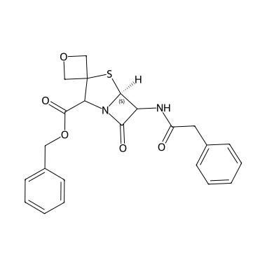 O=C(Cc1ccccc1)NC1C(=O)N2C(C(=O)OCc3ccccc3)C3(COC3)S[C@@H]12